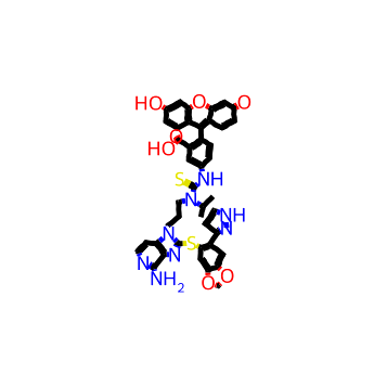 CC(C)N(CCCn1c(Sc2cc3c(cc2-c2cc[nH]n2)OCO3)nc2c(N)nccc21)C(=S)Nc1ccc(-c2c3ccc(=O)cc-3oc3cc(O)ccc23)c(C(=O)O)c1